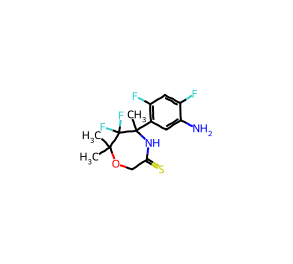 CC1(C)OCC(=S)NC(C)(c2cc(N)c(F)cc2F)C1(F)F